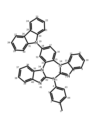 Cc1ccc(-n2c3nc4ccccc4n3c3ccc(-n4c5ccccc5c5ccccc54)cc3n3c4ccccc4nc23)cc1